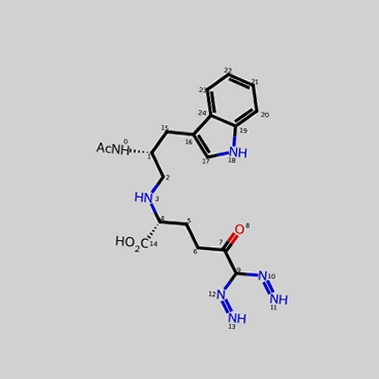 CC(=O)N[C@@H](CN[C@H](CCC(=O)C(N=N)N=N)C(=O)O)Cc1c[nH]c2ccccc12